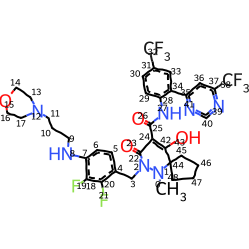 CN1N(Cc2ccc(NCCCN3CCOCC3)c(F)c2F)C(=O)C(C(=O)Nc2ccc(C(F)(F)F)cc2-c2cc(C(F)(F)F)ncn2)=C(O)C12CCCC2